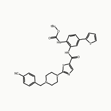 CC(C)(C)OC(=O)Nc1ccc(-c2cccs2)cc1NC(=O)c1cnc(N2CCN(Cc3ccc(C#N)cc3)CC2)s1